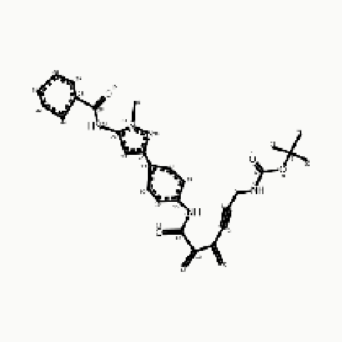 C=C(C#CCNC(=O)OC(C)(C)C)C(=C)C(=O)Nc1ccc(-c2cc(NC(=O)c3ccccc3)n(C)n2)cc1